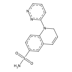 NS(=O)(=O)c1ccc2c(c1)C=CCN2c1cccnn1